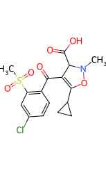 CN1OC(C2CC2)=C(C(=O)c2ccc(Cl)cc2S(C)(=O)=O)C1C(=O)O